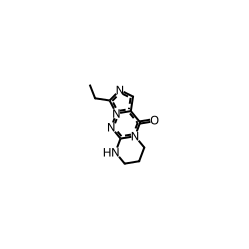 CCc1ncc2c(=O)n3c(nn12)NCCC3